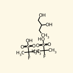 CC(C)(F)S(=O)(=O)O.CC(C)(F)S(=O)(=O)O.CCC(O)CO